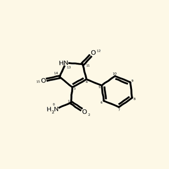 NC(=O)C1=C(c2ccccc2)C(=O)NC1=O